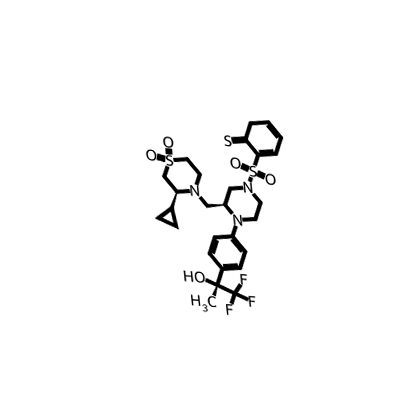 C[C@@](O)(c1ccc(N2CCN(S(=O)(=O)C3=CC=CCC3=S)C[C@@H]2CN2CCS(=O)(=O)C[C@@H]2C2CC2)cc1)C(F)(F)F